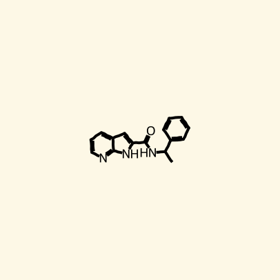 CC(NC(=O)c1cc2cccnc2[nH]1)c1ccccc1